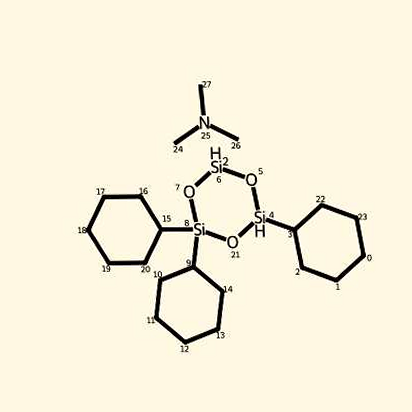 C1CCC([SiH]2O[SiH2]O[Si](C3CCCCC3)(C3CCCCC3)O2)CC1.CN(C)C